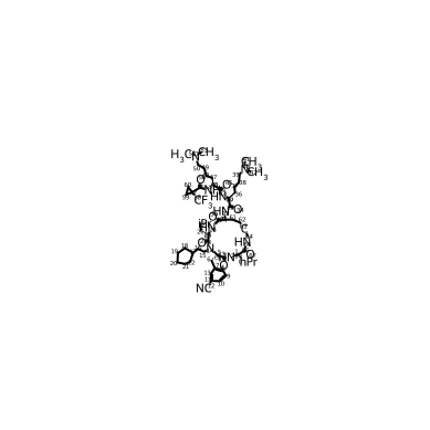 CCC[C@H]1NC(=O)[C@H](Cc2cccc(C#N)c2)N(CCC2CCCCC2)C(=O)[C@H](CC(C)C)NC(=O)[C@@H](NC(=O)[C@H](CCCCN(C)C)NC(=O)[C@H](CCCCN(C)C)NC(=O)C2(C(F)(F)F)CC2)CCCCNC1=O